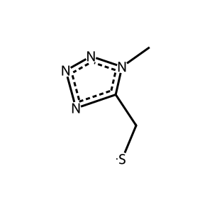 Cn1nnnc1C[S]